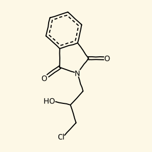 O=C1c2ccccc2C(=O)N1CC(O)CCl